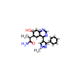 CC(C(N)=O)c1cc2c(-c3cn(C)nc3-c3ccccc3)ncnc2cc1O